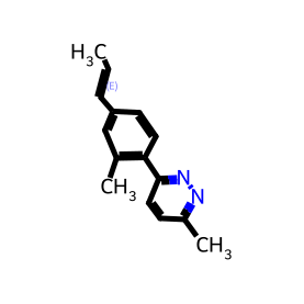 C/C=C/c1ccc(-c2ccc(C)nn2)c(C)c1